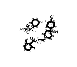 Cc1cccc(C)c1C(=O)NCCN1CCC(O)(c2ccc(Cl)cc2)CC1.O=S(=O)(O)NC1CCCCC1